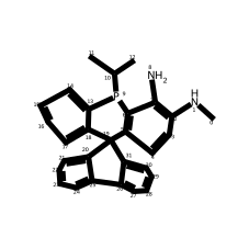 CNc1ccc2c(c1N)P(C(C)C)c1ccccc1C21c2ccccc2-c2ccccc21